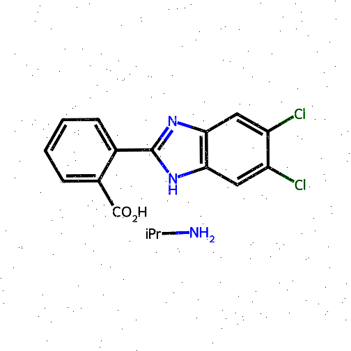 CC(C)N.O=C(O)c1ccccc1-c1nc2cc(Cl)c(Cl)cc2[nH]1